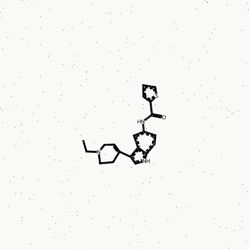 CCN1CC=C(c2c[nH]c3ccc(NC(=O)c4cccs4)cc23)CC1